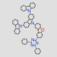 c1ccc(-c2nc(-c3ccccc3)nc(-c3ccc4oc5ccc(-n6c7ccc(-n8c9ccccc9c9ccccc98)cc7c7cc(-n8c9ccccc9c9ccccc98)ccc76)cc5c4c3)n2)cc1